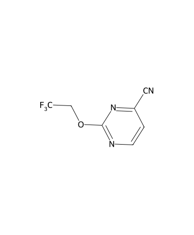 N#Cc1ccnc(OCC(F)(F)F)n1